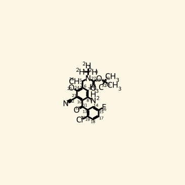 [2H]C([2H])([2H])N(Cc1cc(N)c(C(=O)c2cc(F)ccc2Cl)c(C#N)c1OC)C(=O)OC(C)(C)C